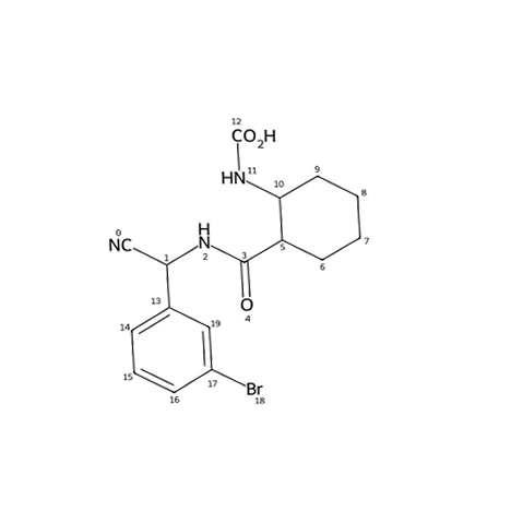 N#CC(NC(=O)C1CCCCC1NC(=O)O)c1cccc(Br)c1